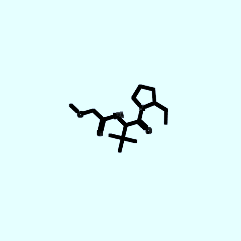 CCC1CCCN1C(=O)C(NC(=O)COC)C(C)(C)C